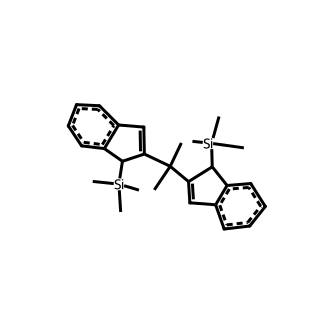 CC(C)(C1=Cc2ccccc2C1[Si](C)(C)C)C1=Cc2ccccc2C1[Si](C)(C)C